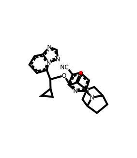 N#Cc1ccc(N2C3CCC2CN(C(=O)COC(c2cccc4ncnn24)C2CC2)C3)nc1